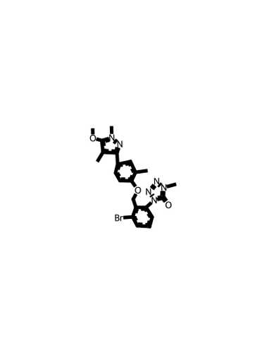 COc1c(C)c(-c2ccc(OCc3c(Br)cccc3-n3nnn(C)c3=O)c(C)c2)nn1C